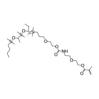 C=C(C)C(=O)OCCOCCNC(=O)OCCOCCC[Si](C)(C)[C@](C)(CC)O[Si](C)(C)C(C)O[Si](C)(C)CCCC